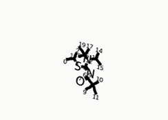 CC(C)S/C(=N\C(=O)C(C)(C)C)N(C(C)C)C(C)(C)C